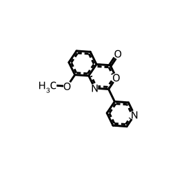 COc1cccc2c(=O)oc(-c3cccnc3)nc12